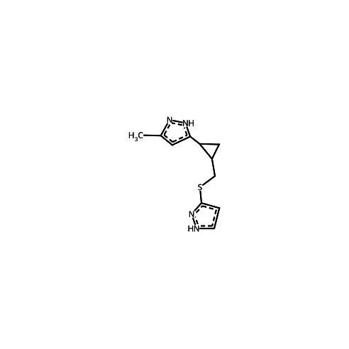 Cc1cc(C2CC2CSc2cc[nH]n2)[nH]n1